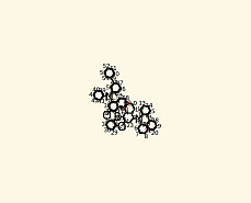 C1=CC2C(N(c3ccccc3)c3ccccc3-c3ccccc3)=CC3=C(B4c5c(cccc5Oc5cc(N(c6ccccc6)c6cccc(-c7ccccc7)c6)c6ccccc6c54)O3)C2C=C1